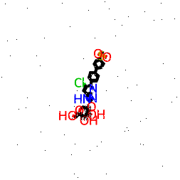 CS(=O)(=O)c1ccc(-c2ccc(-c3nc4nc(O[C@H]5CO[C@H](CO)[C@@H](O)[C@@H]5O)[nH]c4cc3Cl)cc2)cc1